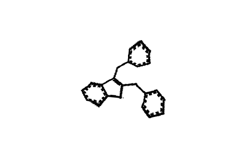 [CH]1C(Cc2ccccc2)=C(Cc2ccccc2)c2ccccc21